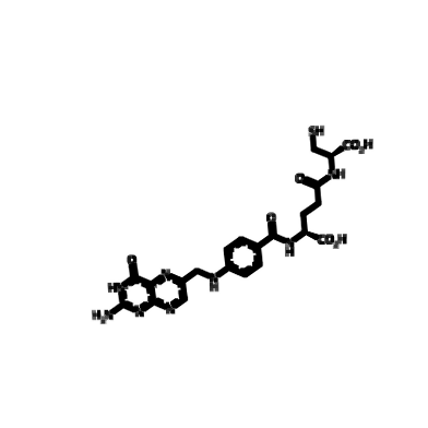 Nc1nc2ncc(CNc3ccc(C(=O)N[C@@H](CCC(=O)N[C@@H](CS)C(=O)O)C(=O)O)cc3)nc2c(=O)[nH]1